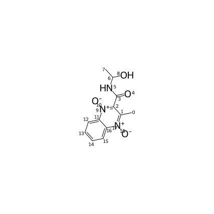 Cc1c(C(=O)NC(C)O)[n+]([O-])c2ccccc2[n+]1[O-]